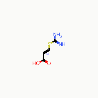 N=C(N)S/C=C/C(=O)O